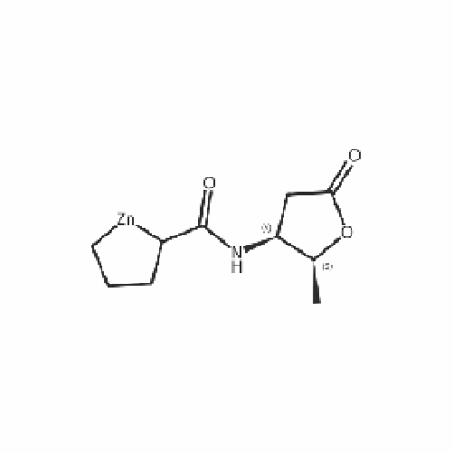 C[C@@H]1OC(=O)C[C@@H]1NC(=O)[CH]1CC[CH2][Zn]1